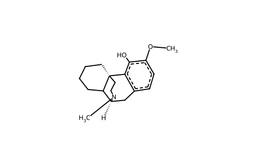 COc1ccc2c(c1O)[C@]13CCCCC1[C@H](C2)N(C)CC3